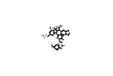 CSc1ccc(C2(O)OC(=O)C(c3ccc4nsnc4c3)=C2Cc2ccc3c(c2)OCO3)cc1.O=Cc1ccc2c(c1)OCO2